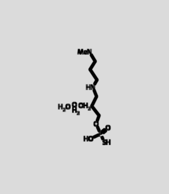 CNCCCNCCCOP(=O)(O)S.O.O.O